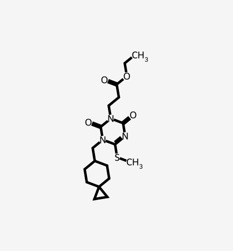 CCOC(=O)CCn1c(=O)nc(SC)n(CC2CCC3(CC2)CC3)c1=O